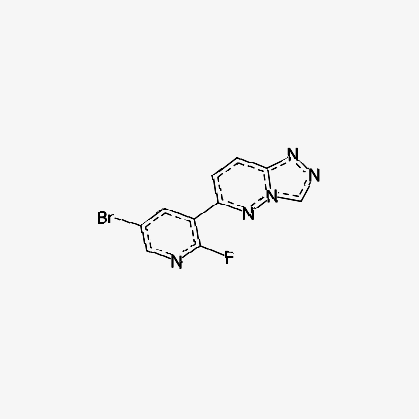 Fc1ncc(Br)cc1-c1ccc2nncn2n1